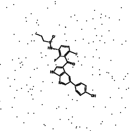 CCC[S+]([O-])Nc1ccc(F)c(C(=O)c2c[nH]c3ncc(-c4ccc(O)cc4)cc23)c1F